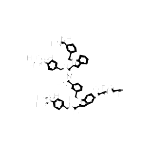 C[N+](C)(C)c1ccc(CNC(=O)c2cc3ccccc3n2Cc2cccc(C(=N)N)c2)cc1.C[N+](C)(C)c1ccc(CNC(=O)c2cc3ccccc3n2Cc2cccc(C(=N)N)c2)cc1.O=C([O-])C(F)(F)F.O=C([O-])C(F)(F)F